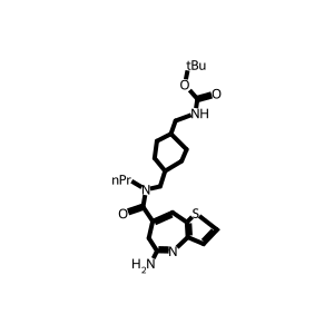 CCCN(CC1CCC(CNC(=O)OC(C)(C)C)CC1)C(=O)C1=Cc2sccc2N=C(N)C1